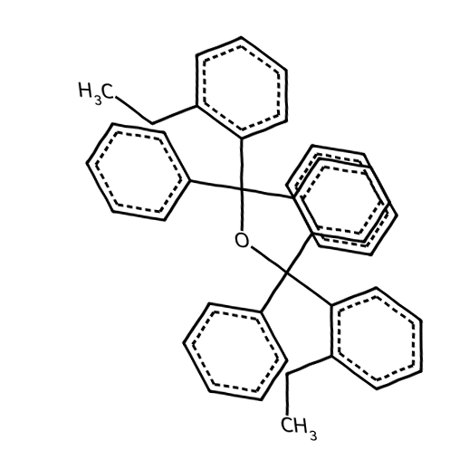 CCc1ccccc1C(OC(c1ccccc1)(c1ccccc1)c1ccccc1CC)(c1ccccc1)c1ccccc1